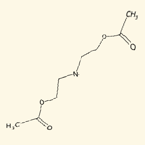 CC(=O)OCC[N]CCOC(C)=O